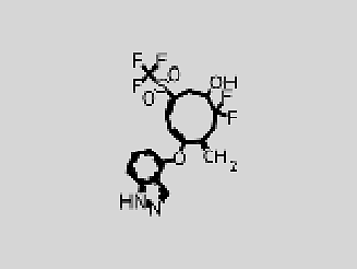 C=C1CC(F)(F)C(O)C/C(S(=O)(=O)C(F)(F)F)=C\C=C/1Oc1cccc2[nH]ncc12